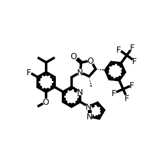 COc1cc(F)c(C(C)C)cc1-c1ccc(-n2cccn2)nc1CN1C(=O)O[C@H](c2cc(C(F)(F)F)cc(C(F)(F)F)c2)[C@@H]1C